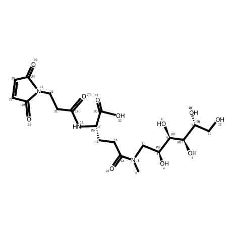 CN(C[C@H](O)[C@@H](O)[C@H](O)[C@H](O)CO)C(=O)CC[C@H](NC(=O)CCN1C(=O)C=CC1=O)C(=O)O